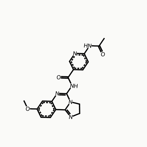 COc1ccc2c(c1)N=C(NC(=O)c1ccc(NC(C)=O)nc1)N1CCN=C21